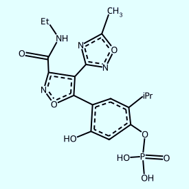 CCNC(=O)c1noc(-c2cc(C(C)C)c(OP(=O)(O)O)cc2O)c1-c1noc(C)n1